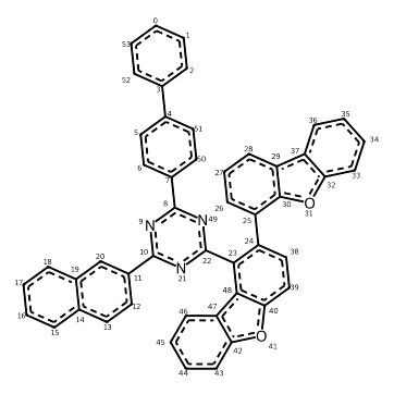 c1ccc(-c2ccc(-c3nc(-c4ccc5ccccc5c4)nc(-c4c(-c5cccc6c5oc5ccccc56)ccc5oc6ccccc6c45)n3)cc2)cc1